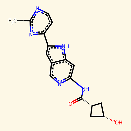 O=C(Nc1cc2[nH]c(-c3ccnc(C(F)(F)F)n3)cc2cn1)[C@H]1C[C@@H](O)C1